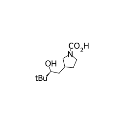 CC(C)(C)[C@@H](O)CC1CCN(C(=O)O)C1